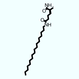 CCCCCCCCCCCCCCCCCCNC(=O)CCC=C(C)C(N)=O